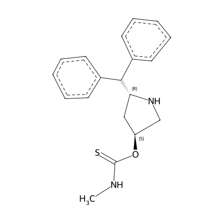 CNC(=S)O[C@@H]1CN[C@@H](C(c2ccccc2)c2ccccc2)C1